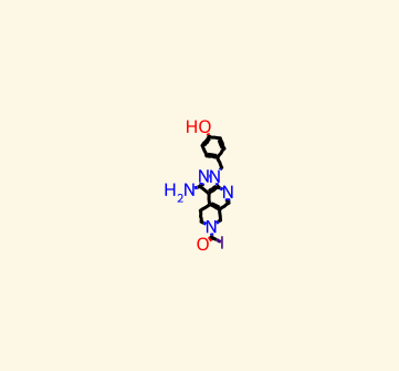 Nc1nn(Cc2ccc(O)cc2)c2ncc3c(c12)CCN(C(=O)I)C3